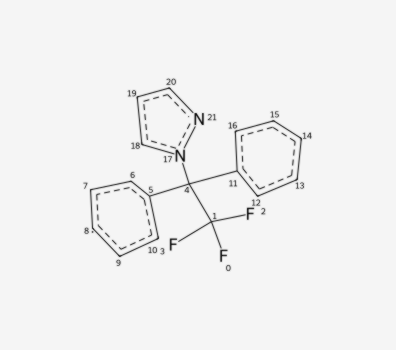 FC(F)(F)C(c1cc[c]cc1)(c1ccccc1)n1cccn1